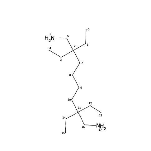 CCC(CC)(CN)CCCCC(CC)(CC)CN